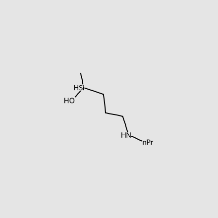 CCCNCCC[SiH](C)O